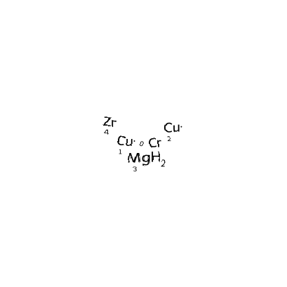 [Cr].[Cu].[Cu].[MgH2].[Zr]